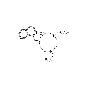 O=C(O)CN1CCCN(CC(=O)O)CCCN(Cc2c3ccccc3cc[n+]2[O-])CCC1